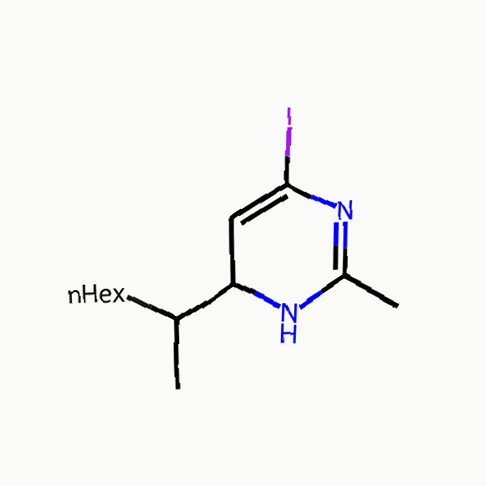 CCCCCCC(C)C1C=C(I)N=C(C)N1